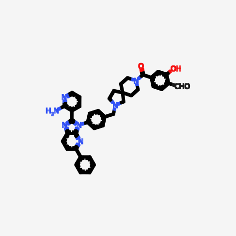 Nc1ncccc1-c1nc2ccc(-c3ccccc3)nc2n1-c1ccc(CN2CCC3(CCN(C(=O)c4ccc(C=O)c(O)c4)CC3)C2)cc1